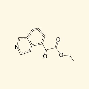 CCOC(=O)C(=O)c1cccc2cnccc12